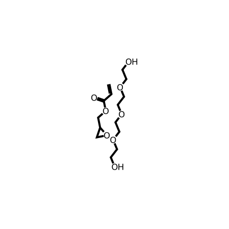 C=CC(=O)OCC1CO1.OCCOCCOCCOCCO